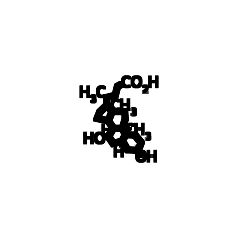 C[C@H](CCC(=O)O)C1CCC2[C@@H]3C(O)C[C@@H]4C[C@H](O)CC[C@]4(C)C3CC[C@@]21C